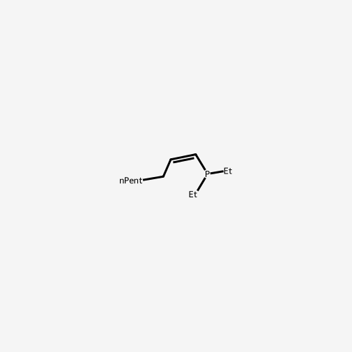 CCCCCC/C=C\P(CC)CC